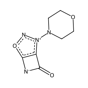 O=C1[N-]c2on[n+](N3CCOCC3)c21